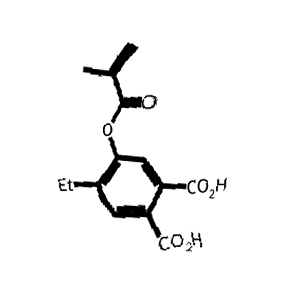 C=C(C)C(=O)Oc1cc(C(=O)O)c(C(=O)O)cc1CC